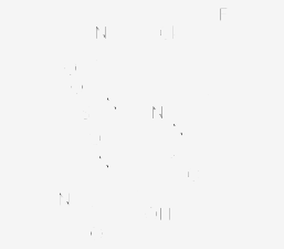 CN(C)C(=O)CN(c1nn(Cc2ccc(F)c(Cl)c2)c(=O)c2c(O)c3n(c12)CCN(C)C3=O)S(C)(=O)=O